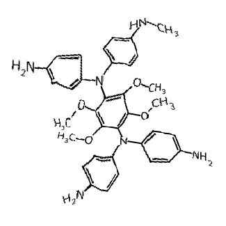 CNc1ccc(N(c2ccc(N)cc2)c2c(OC)c(OC)c(N(c3ccc(N)cc3)c3ccc(N)cc3)c(OC)c2OC)cc1